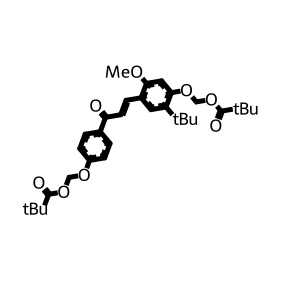 COc1cc(OCOC(=O)C(C)(C)C)c(C(C)(C)C)cc1C=CC(=O)c1ccc(OCOC(=O)C(C)(C)C)cc1